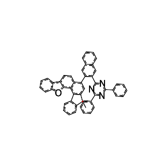 CC1(C)c2ccccc2-c2c1cc(-c1cc3ccccc3cc1-c1nc(-c3ccccc3)nc(-c3ccccc3)n1)c1ccc3c4ccccc4oc3c21